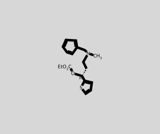 CCOC(=O)O[C@H](CCN(C)Cc1ccccc1)c1cccs1